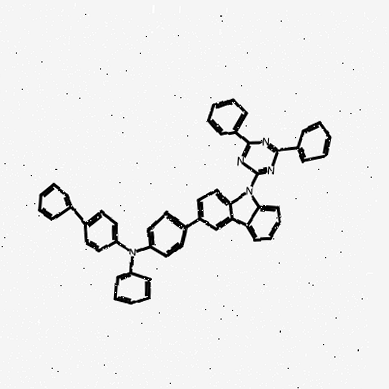 c1ccc(-c2ccc(N(c3ccccc3)c3ccc(-c4ccc5c(c4)c4ccccc4n5-c4nc(-c5ccccc5)nc(-c5ccccc5)n4)cc3)cc2)cc1